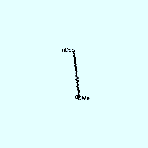 CCCCCCCCCCCCCCCCCCCCCCCCCCCCCCCCCCCCCC(=O)OC